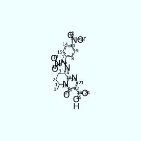 CC1CCC(=NN(c2ccc([N+](=O)[O-])cc2)[N+](=O)[O-])c2ncc(C(=O)O)c(=O)n21